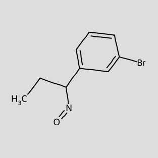 CCC(N=O)c1cccc(Br)c1